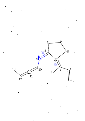 C=C/C(C)=C1\CCC\C1=N\C=C=CC